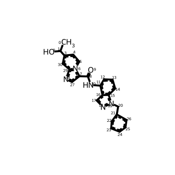 CC(O)c1ccn2c(C(=O)Nc3cccc4c3cnn4Cc3ccccc3)cnc2c1